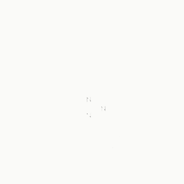 c1ccc(-c2ccc(-c3nc(-c4ccccc4)nc(-c4ccc(-c5c(-c6ccccc6)c(-c6ccccc6)c(-c6ccccc6)c(-c6ccccc6)c5-c5ccccc5)cc4)n3)cc2)cc1